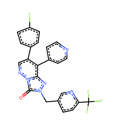 O=c1n(Cc2ccc(C(F)(F)F)nc2)nc2c(-c3ccncc3)c(-c3ccc(F)cc3)cnn12